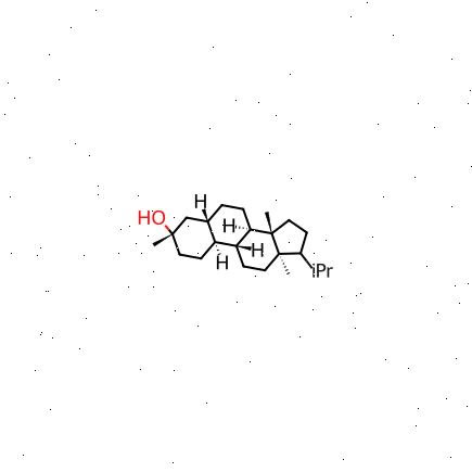 CC(C)C1CC[C@@]2(C)[C@@H]3CC[C@H]4C[C@@](C)(O)CC[C@@H]4[C@H]3CC[C@]12C